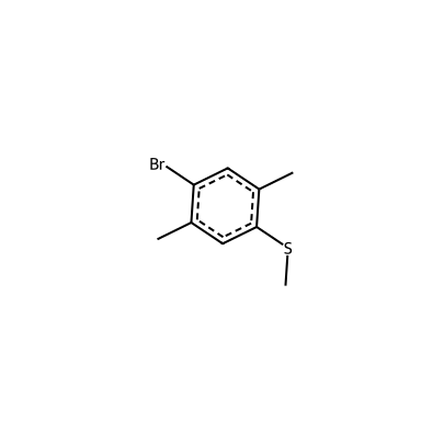 CSc1cc(C)c(Br)cc1C